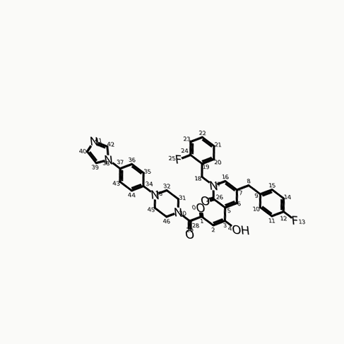 O=C(/C=C(/O)c1cc(Cc2ccc(F)cc2)cn(Cc2ccccc2F)c1=O)C(=O)N1CCN(c2ccc(-n3ccnc3)cc2)CC1